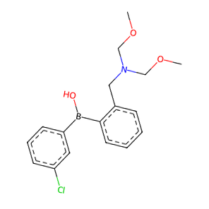 COCN(COC)Cc1ccccc1B(O)c1cccc(Cl)c1